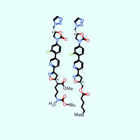 CNCCCCC(=O)OC[C@@H]1CC(c2ccc(-c3ccc(N4C[C@H](Cn5ccnn5)OC4=O)cc3F)cn2)=NO1.COC(=O)C(CCCN(C)C(=O)OC(C)(C)C)[C@@H]1CC(c2ccc(-c3ccc(N4C[C@H](Cn5ccnn5)OC4=O)cc3F)cn2)=NO1